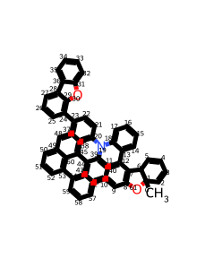 CC12C=CC=CC1c1c(cccc1-c1ccccc1N(c1ccc(-c3cccc4c3oc3ccccc34)cc1)c1ccccc1-c1cccc3cccc(-c4ccccc4)c13)O2